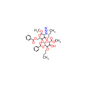 CCCCO[C@@H]1C(OC(=O)c2ccccc2)C(O[C@@H]2C(COC(=O)c3ccccc3)O[C@H](OC)C(N=[N+]=[N-])[C@H]2OCCCC)OC(C(=O)OC)[C@H]1O